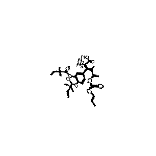 CCCOC(=O)OC(C)C(C)C(c1ccc(OC(=O)C(C)(C)CC)c(OC(=O)C(C)(C)CC)c1)[C@H](N)C(=O)O